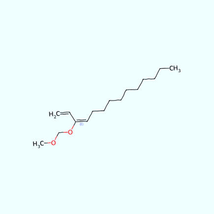 C=C/C(=C\CCCCCCCCCC)OCOC